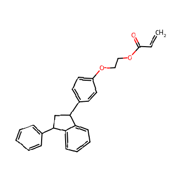 C=CC(=O)OCCOc1ccc(C2CC(c3ccccc3)c3ccccc32)cc1